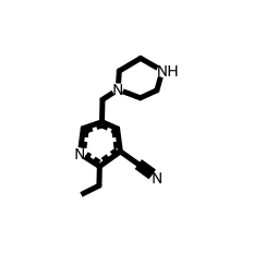 CCc1ncc(CN2CCNCC2)cc1C#N